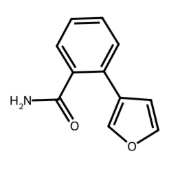 NC(=O)c1ccccc1-c1ccoc1